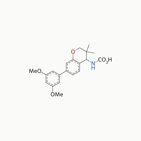 COc1cc(OC)cc(-c2ccc3c(c2)OCC(C)(C)C3NC(=O)O)c1